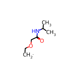 [CH2]COCC(=O)NC(C)C